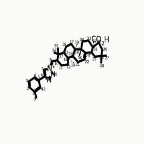 Cc1cccc(C2=C/[N+](=C/C3CC[C@@]4(C)C(CC[C@]5(C)C4CC=C4C6CC(C)(C)CC[C@]6(C(=O)O)CC[C@]45C)C3(C)C)N=N2)c1